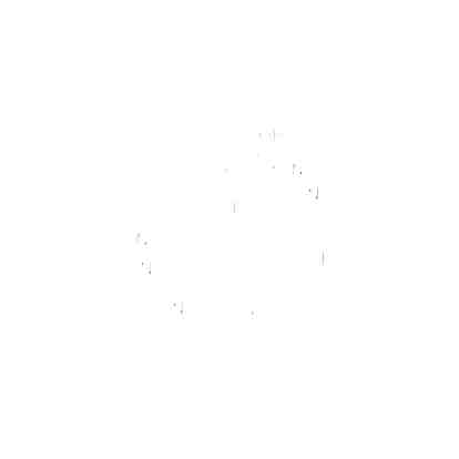 CN(N=O)c1cc(-c2cc(F)c3nn(C)c(C(C)(O)C(F)F)c3c2)c(Cl)cn1